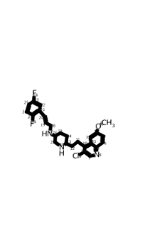 COc1ccc2ncc(Cl)c(CCC3CCC(NCC=Cc4cc(F)ccc4F)CN3)c2c1